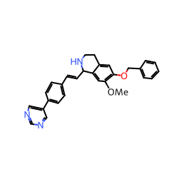 COc1cc2c(cc1OCc1ccccc1)CCNC2/C=C/c1ccc(-c2cncnc2)cc1